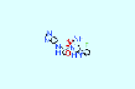 CNC(=O)C1Cc2c([nH]c3cccc(F)c23)CN1C(=O)c1occc1CNc1ccc2nccnc2c1